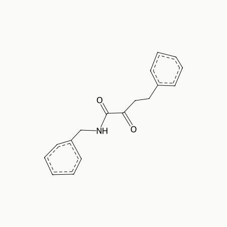 O=C(CCc1ccccc1)C(=O)NCc1ccccc1